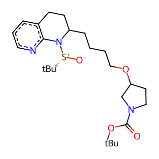 CC(C)(C)OC(=O)N1CCC(OCCCCC2CCc3cccnc3N2[S@+]([O-])C(C)(C)C)C1